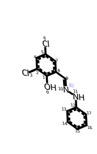 Oc1c(Cl)cc(Cl)cc1/C=N/Nc1ccccc1